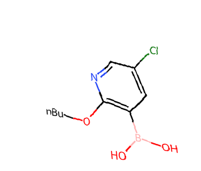 CCCCOc1ncc(Cl)cc1B(O)O